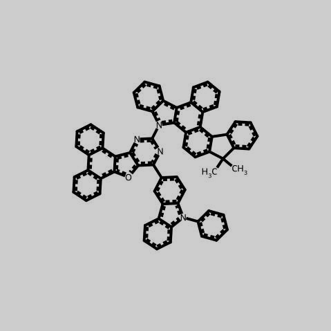 CC1(C)c2ccccc2-c2c1ccc1c2c2ccccc2c2c3ccccc3n(-c3nc(-c4ccc5c(c4)c4ccccc4n5-c4ccccc4)c4oc5c6ccccc6c6ccccc6c5c4n3)c12